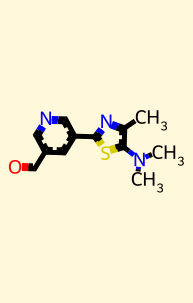 Cc1nc(-c2cncc(C=O)c2)sc1N(C)C